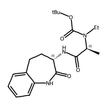 CCN(C(=O)OC(C)(C)C)[C@@H](C)C(=O)N[C@H]1CCc2ccccc2NC1=O